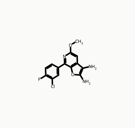 COc1cc2c(N)c(N)oc2c(-c2ccc(F)c(Cl)c2)n1